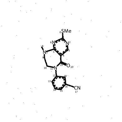 CSc1ncc2c(n1)N(C)CCN(c1cccc(C#N)c1)C2=O